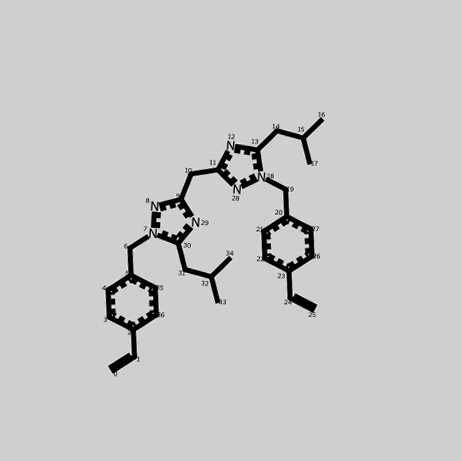 C=Cc1ccc(Cn2nc(Cc3nc(CC(C)C)n(Cc4ccc(C=C)cc4)n3)nc2CC(C)C)cc1